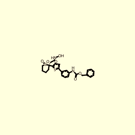 O=C(C[C@]1(c2ccc(-c3cccc(NC(=O)OCc4ccccc4)c3)s2)CCCCS1(=O)=O)NO